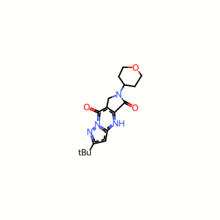 CC(C)(C)c1cc2[nH]c3c(c(=O)n2n1)CN(C1CCOCC1)C3=O